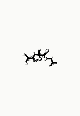 CC(C)COC(=O)C1(C)CC(C(C)C)=NO1